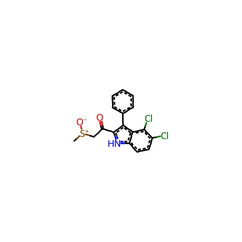 C[S+]([O-])CC(=O)c1[nH]c2ccc(Cl)c(Cl)c2c1-c1ccccc1